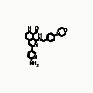 Nc1ccc(-c2cc3c(c(NCc4ccc(N5CCOCC5)cc4)n2)C(C=O)NC=C3)cn1